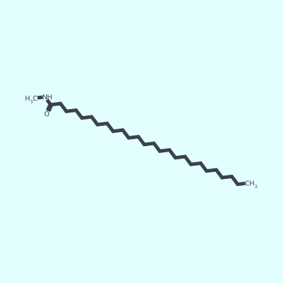 CCCCCCCCCCCCCCCCCCCCCCCCCC(=O)NC